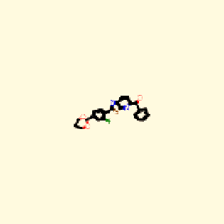 O=C(c1ccccc1)c1ccc2nc(-c3ccc(C4OCCCO4)cc3F)sc2n1